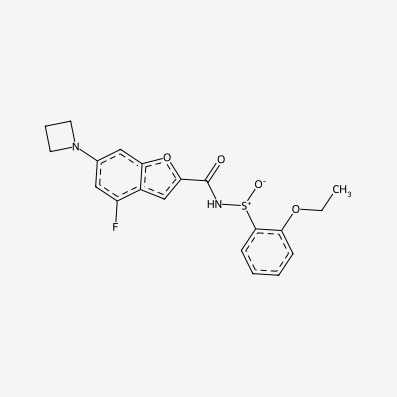 CCOc1ccccc1[S+]([O-])NC(=O)c1cc2c(F)cc(N3CCC3)cc2o1